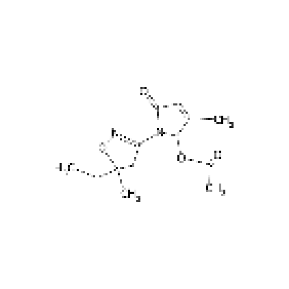 CCC1(C)CC(N2C(=O)C=C(C)C2OC(C)=O)=NO1